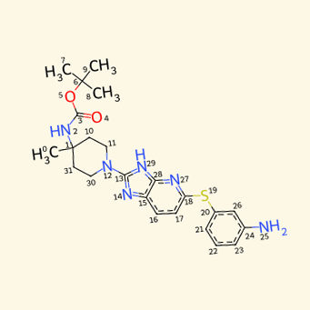 CC1(NC(=O)OC(C)(C)C)CCN(c2nc3ccc(Sc4cccc(N)c4)nc3[nH]2)CC1